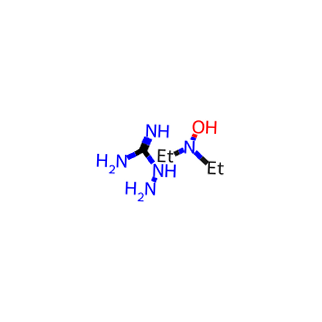 CCN(O)CC.N=C(N)NN